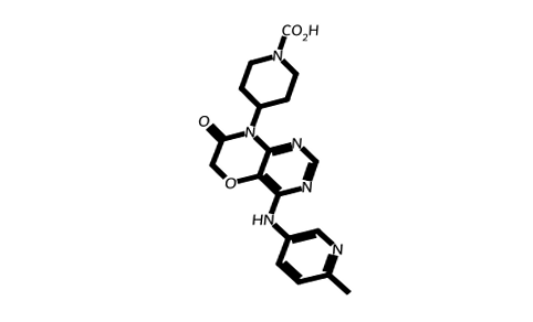 Cc1ccc(Nc2ncnc3c2OCC(=O)N3C2CCN(C(=O)O)CC2)cn1